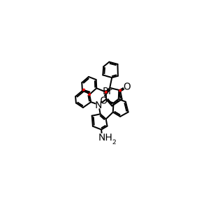 Nc1ccc(N(c2ccccc2)c2cccc(-c3ccccc3)c2-c2ccccc2)c(-c2cccc(C=O)c2OBr)c1